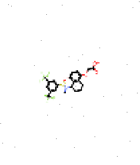 CN([C@@H]1CCCc2c(OCC(=O)O)cccc21)[S+]([O-])c1cc(C(F)(F)F)cc(C(F)(F)F)c1